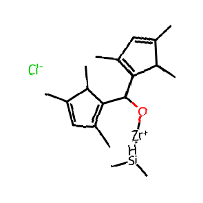 CC1=CC(C)=C(C([O][Zr+][SiH](C)C)C2=C(C)C=C(C)C2C)C1C.[Cl-]